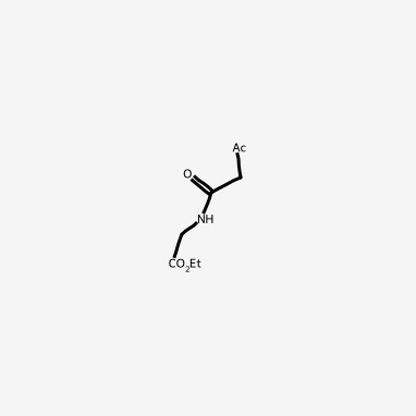 CCOC(=O)CNC(=O)CC(C)=O